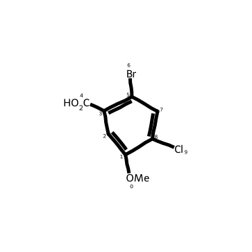 COc1cc(C(=O)O)c(Br)cc1Cl